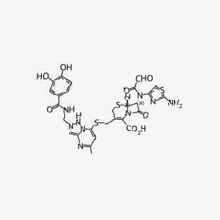 CC1=NC2=CN(CNC(=O)c3ccc(O)c(O)c3)NN2C(SCC2=C(C(=O)O)N3C(=O)[C@@H](N(C(=O)C=O)c4csc(N)n4)[C@H]3SC2)=C1